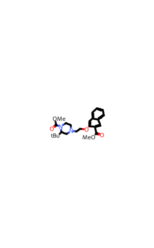 COC(=O)c1cc2ccccc2cc1OCCN1CCN(C(=O)OC)C(C(C)(C)C)C1